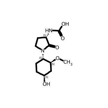 CO[C@H]1C[C@@H](O)CC[C@@H]1N1CC[C@H](NC(=O)O)C1=O